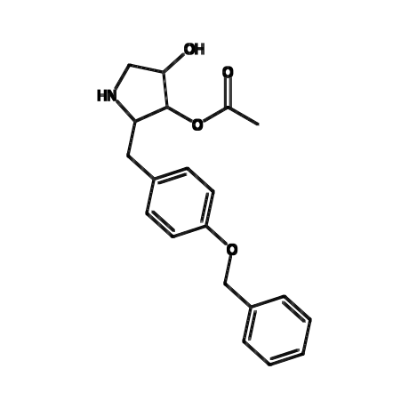 CC(=O)OC1C(O)CNC1Cc1ccc(OCc2ccccc2)cc1